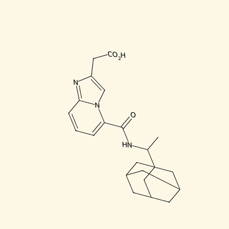 CC(NC(=O)c1cccc2nc(CC(=O)O)cn12)C12CC3CC(CC(C3)C1)C2